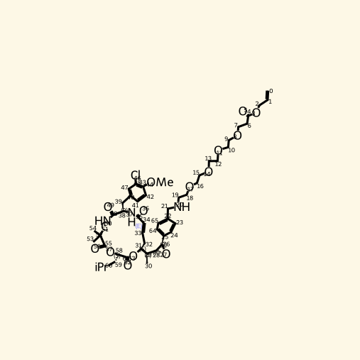 C=CCOC(=O)CCOCCOCCOCCOCCNCc1ccc([C@H]2O[C@@H]2[C@@H](C)[C@@H]2C/C=C/C(=O)N[C@H](Cc3ccc(OC)c(Cl)c3)C(=O)NCC(C)(C)C(=O)O[C@@H](CC(C)C)C(=O)O2)cc1